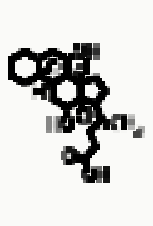 C[C@H](CCC(=O)O)C1CC[C@H]2C3[C@H](O)CC4CCCCC4(C)[C@H]3C[C@H](O)C12C